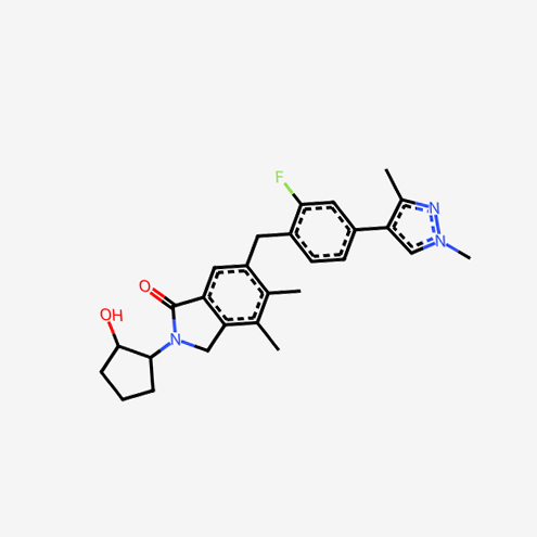 Cc1nn(C)cc1-c1ccc(Cc2cc3c(c(C)c2C)CN(C2CCCC2O)C3=O)c(F)c1